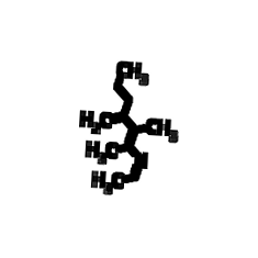 C=C(CCC)/C(C)=C(C)/N=C\C